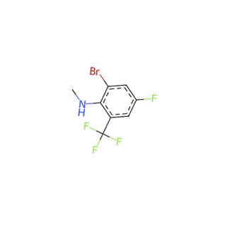 CNc1c(Br)cc(F)cc1C(F)(F)F